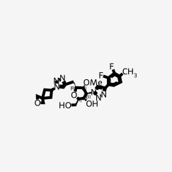 CO[C@@H]1[C@@H](n2cc(-c3ccc(C)c(F)c3F)nn2)[C@@H](O)[C@@H](CO)O[C@@H]1Cc1cn(C2CC3(COC3)C2)nn1